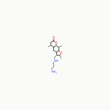 Cc1oc2c(C)c3oc(=O)cc(C)c3cc2c1CNCCCN